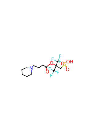 O=C(CCCN1CCCCC1)OC(CS(=O)(=O)O)(C(F)(F)F)C(F)(F)F